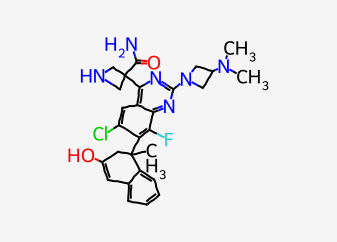 CN(C)C1CN(c2nc(C3(C(N)=O)CNC3)c3cc(Cl)c(C4(C)CC(O)=Cc5ccccc54)c(F)c3n2)C1